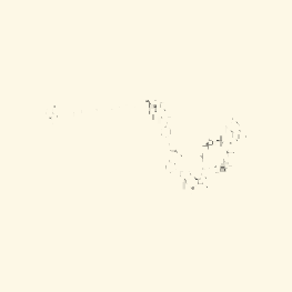 CC(C)[C@H](NC(=O)CCOCCOCCOCCOCCOCCN1C(=O)C=CC1=O)C(=O)N[C@@H](C)C(=O)Nc1ccc(COC(=O)N(C)Cc2ccccc2C(=O)Nc2nc3c(ncn3[C@@H]3O[C@@H]4COP(=O)(S)O[C@H]5[C@@H](F)[C@H](n6cnc7cncnc76)O[C@@H]5CNS(=O)(=O)O[C@@H]3C4)c(=O)[nH]2)cc1